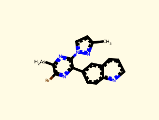 Cc1ccn(-c2nc([AsH2])c(Br)nc2-c2ccc3ncccc3c2)n1